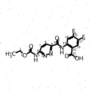 CCOC(=O)Nc1ccc(C(=O)Nc2cc(F)c(F)cc2C(=O)O)nn1